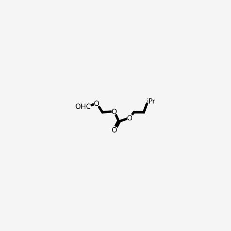 CC(C)CCOC(=O)OCOC=O